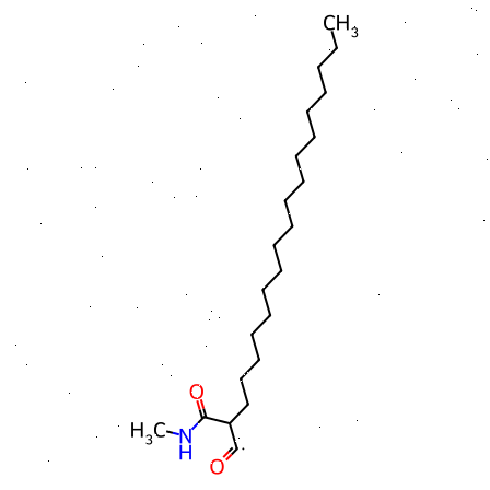 CCCCCCCCCCCCCCCCCCC([C]=O)C(=O)NC